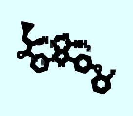 N#CC(=CC1CC1)C(=O)N1CCC[C@H](n2nc(-c3ccc(Oc4ccccc4F)cc3)c3c(N)ncnc32)C1